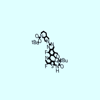 CC(C)(C)OC(=O)Nc1sc2c(F)cnc(-c3c4c(c5cnc(N6CC7CCCN(C(=O)OC(C)(C)C)C7C6)nc5c3F)COC4)c2c1C#N